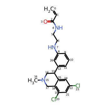 C=CC(=O)NCCNc1cccc(C2CN(C)Cc3c(Cl)cc(Cl)cc32)c1